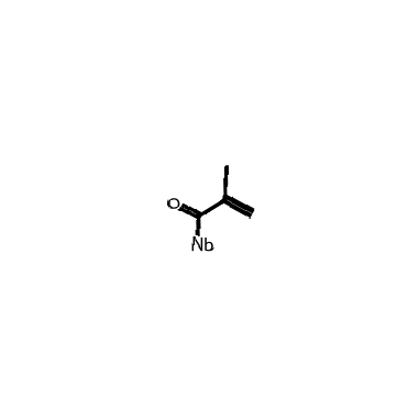 C=C(C)[C](=O)[Nb]